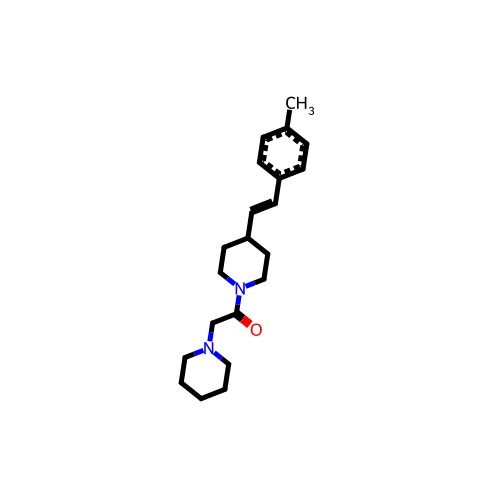 Cc1ccc(/C=C/C2CCN(C(=O)CN3CCCCC3)CC2)cc1